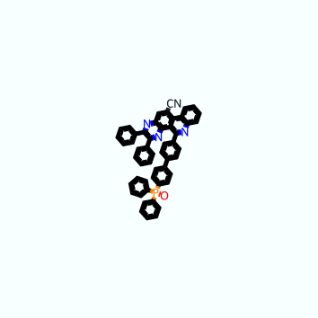 N#Cc1cc2nc(-c3ccccc3)c(-c3ccccc3)nc2c2c(-c3ccc(-c4ccc(P(=O)(c5ccccc5)c5ccccc5)cc4)cc3)nc3ccccc3c12